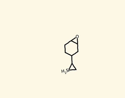 C1CC2OC2CC1C1C[SiH2]1